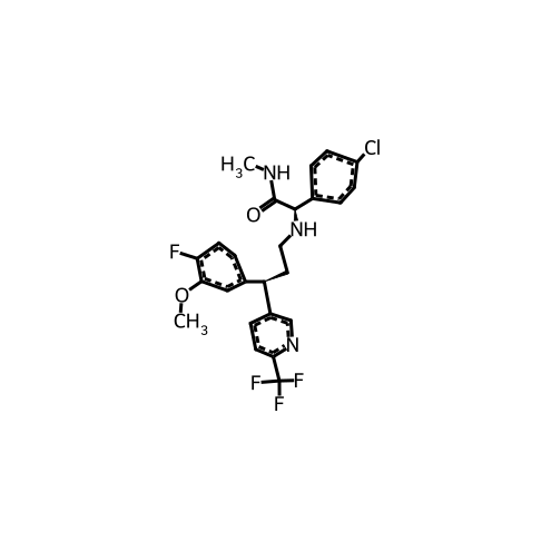 CNC(=O)[C@H](NCC[C@@H](c1ccc(C(F)(F)F)nc1)c1ccc(F)c(OC)c1)c1ccc(Cl)cc1